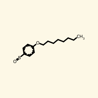 CCCCCCCCOc1ccc(B=O)cc1